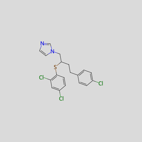 Clc1ccc(CCC(Cn2ccnc2)Sc2ccc(Cl)cc2Cl)cc1